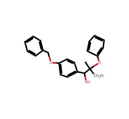 CCOC(=O)C(C)(Oc1ccccc1)C(O)c1ccc(OCc2ccccc2)cc1